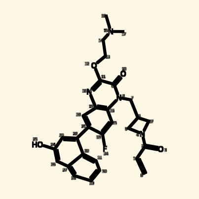 C=CC(=O)N1CC(Cn2c(=O)c(OCCN(C)C)nc3cc(-c4cc(O)cc5ccccc45)c(F)cc32)C1